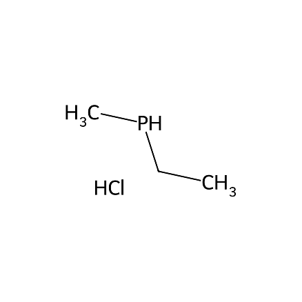 CCPC.Cl